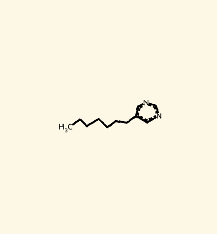 CCCCCCCc1cncnc1